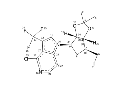 CC1(C)O[C@@H]2[C@@H](CI)C[C@@H](n3cc(C(F)(F)F)c4c(Cl)ncnc43)[C@@H]2O1